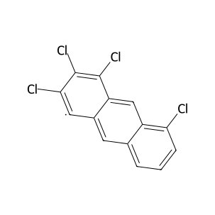 Clc1[c]c2cc3cccc(Cl)c3cc2c(Cl)c1Cl